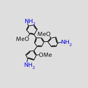 COc1cc(N)ccc1-c1cc(-c2ccc(N)cc2OC)cc(-c2ccc(N)cc2OC)c1